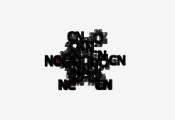 N#Cc1ccc2c(c1)c1cc(C#N)ccc1n2-c1c(C#N)c(-c2cccc(-c3ccccc3)n2)c(-n2c3ccc(C#N)cc3c3cc(C#N)ccc32)c(-n2c3ccc(C#N)cc3c3cc(C#N)ccc32)c1-n1c2ccc(C#N)cc2c2cc(C#N)ccc21